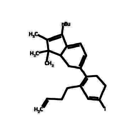 C=CCCC1=C(C2=CC=C3C(CCCC)=C(C)C(C)(C)C3C2)CCC(I)=C1